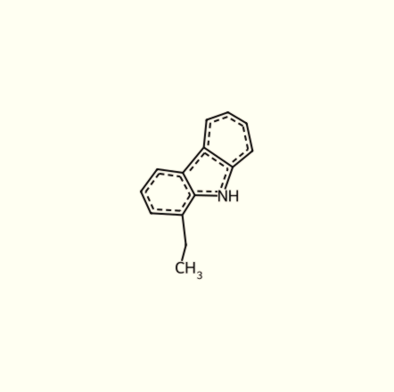 CCc1cccc2c1[nH]c1ccccc12